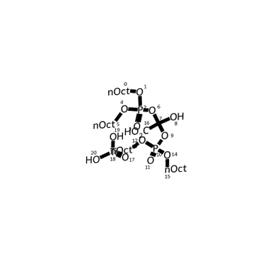 CCCCCCCCOP(=O)(OCCCCCCCC)OC(O)(OP(=O)(OCCCCCCCC)OCCCCCCCC)C(=O)O.[O]=[Ti]([OH])[OH]